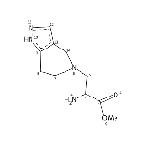 COC(=O)C(N)CN1CCc2[nH]ncc2C1